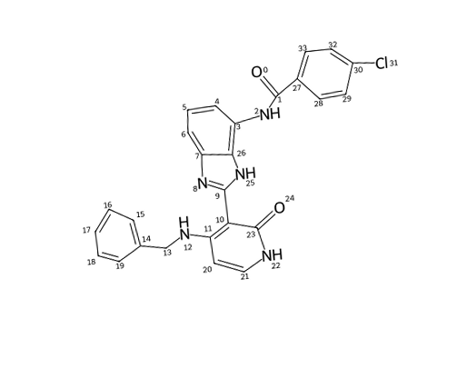 O=C(Nc1cccc2nc(-c3c(NCc4ccccc4)cc[nH]c3=O)[nH]c12)c1ccc(Cl)cc1